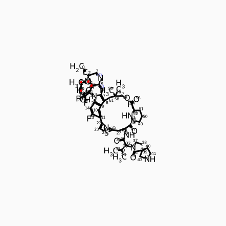 C=C=C(/C=N\C(=C\c1c2c3cc(c(F)cc3n1CC(F)(F)F)-c1csc(n1)C[C@H](NC(=O)[C@H](C(C)C)N1CC[C@@]3(CCNC3)C1=O)C(=O)N1CCC[C@H](N1)C(=O)OCC(C)(C)C2)[C@H](C)OC)N1CCN(C)CC1